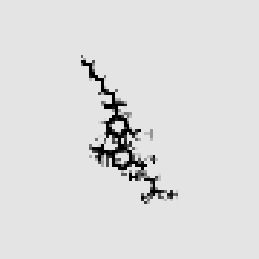 CCCCCCC(C)(C)c1cc(O)c2c(c1)OC(C)(C)[C@@H]1CC=C(C(=O)NCC(=O)O)C[C@@H]21